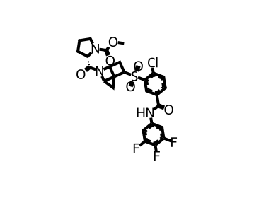 COC(=O)N1CCC[C@H]1C(=O)N1C2CC(S(=O)(=O)c3cc(C(=O)Nc4cc(F)c(F)c(F)c4)ccc3Cl)C23CC13